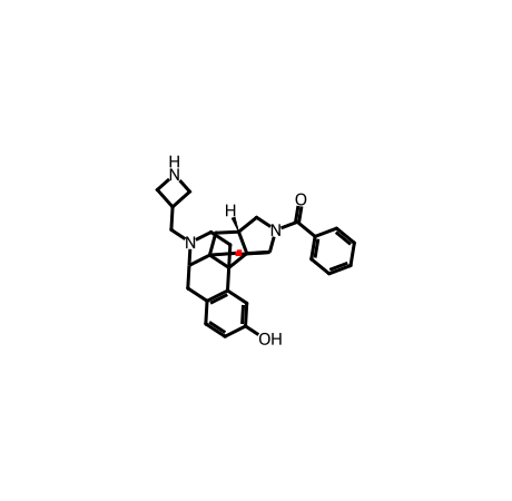 O=C(c1ccccc1)N1C[C@H]2CC34CCC1C2C31CCN(CC2CNC2)C4Cc2ccc(O)cc21